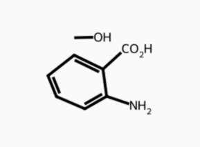 CO.Nc1ccccc1C(=O)O